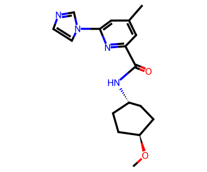 CO[C@H]1CC[C@H](NC(=O)c2cc(C)cc(-n3ccnc3)n2)CC1